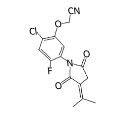 CC(C)=C1CC(=O)N(c2cc(OCC#N)c(Cl)cc2F)C1=O